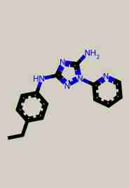 CCc1ccc(Nc2nc(N)n(-c3ccccn3)n2)cc1